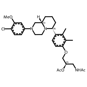 COc1cc(N2CCN3[C@@H](CCC[C@@H]3c3ccc(OC[C@@H](CNC(C)=O)OC(C)=O)c(C)c3C)C2)ccc1Cl